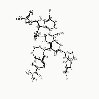 CN(C)C(=O)c1cc2n(n1)CCCN(c1nc(OCC34CCCN3C/C(=C\F)C4)nc3c(F)c(-c4ccc(F)c5sc(NC(=O)O)c(C#N)c45)c(Cl)cc13)C2